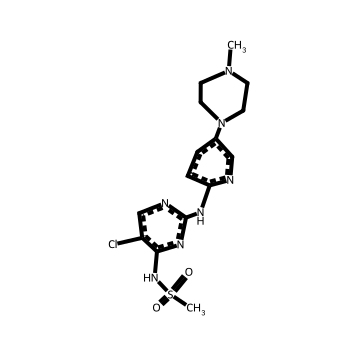 CN1CCN(c2ccc(Nc3ncc(Cl)c(NS(C)(=O)=O)n3)nc2)CC1